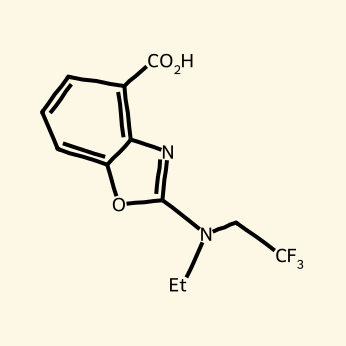 CCN(CC(F)(F)F)c1nc2c(C(=O)O)cccc2o1